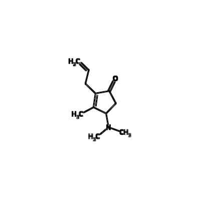 C=CCC1=C(C)C(N(C)C)CC1=O